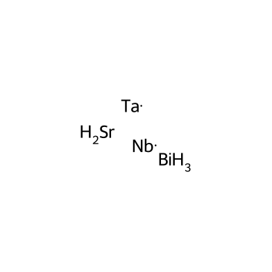 [BiH3].[Nb].[SrH2].[Ta]